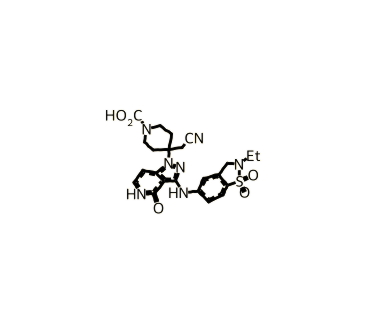 CCN1Cc2cc(Nc3nn(C4(CC#N)CCN(C(=O)O)CC4)c4cc[nH]c(=O)c34)ccc2S1(=O)=O